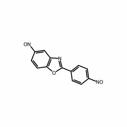 O=Nc1ccc(-c2nc3cc(N=O)ccc3o2)cc1